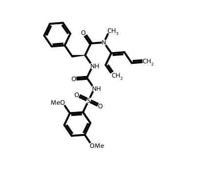 C=C/C=C(\C=C)N(C)C(=O)[C@H](Cc1ccccc1)NC(=O)NS(=O)(=O)c1cc(OC)ccc1OC